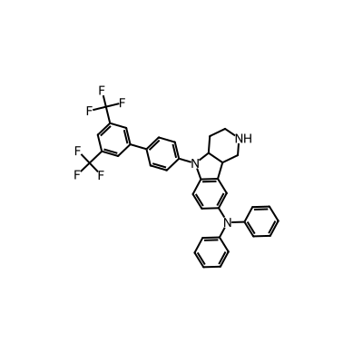 FC(F)(F)c1cc(-c2ccc(N3c4ccc(N(c5ccccc5)c5ccccc5)cc4C4CNCCC43)cc2)cc(C(F)(F)F)c1